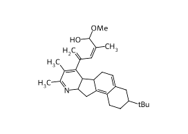 C=C(C=C(C)C(O)OC)C1=C(C)C(C)=NC2CC3=C4CCC(C(C)(C)C)CC4=CCC3C12